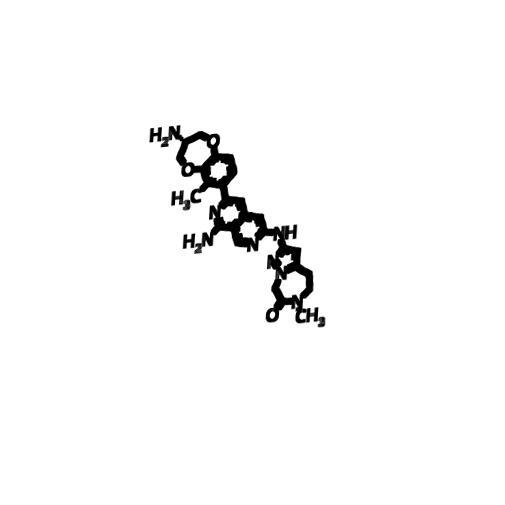 Cc1c(-c2cc3cc(Nc4cc5n(n4)CC(=O)N(C)CC5)ncc3c(N)n2)ccc2c1OC[C@H](N)CO2